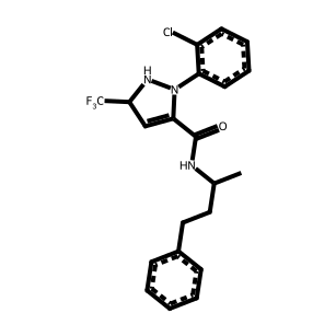 CC(CCc1ccccc1)NC(=O)C1=CC(C(F)(F)F)NN1c1ccccc1Cl